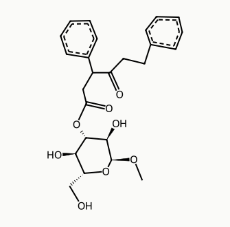 CO[C@H]1O[C@H](CO)[C@@H](O)[C@H](OC(=O)CC(C(=O)CCc2ccccc2)c2ccccc2)[C@H]1O